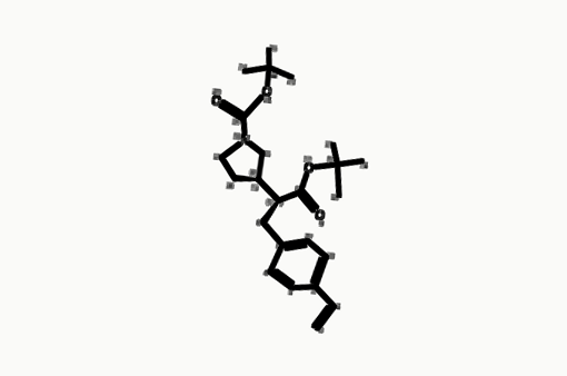 C=Cc1ccc(C[C@H](C(=O)OC(C)(C)C)[C@H]2CCN(C(=O)OC(C)(C)C)C2)cc1